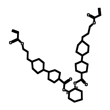 C=CC(=O)OCCCC1CCC(C2CCC(C(=O)O[C@@H]3CCCC[C@H]3OC(=O)C3CCC(C4CCC(CCCOC(=O)C=C)CC4)CC3)CC2)CC1